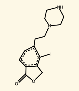 O=C1OCc2c1ccc(CCN1CCNCC1)c2I